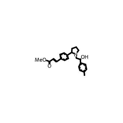 COC(=O)C=Cc1ccc(C2CCCN2CC(O)c2ccc(C)cc2)cc1